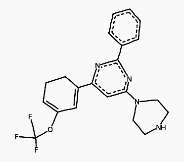 FC(F)(F)OC1=CC[CH]C(c2cc(N3CCNCC3)nc(-c3ccccc3)n2)=C1